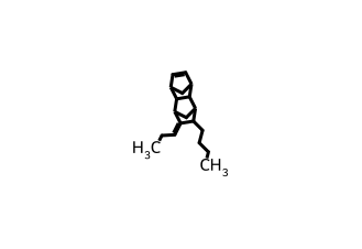 CCC=C1C(CCCC)C2CC1C1C3C=CC(C3)C21